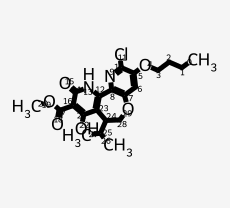 CCCCOc1cc2c(nc1Cl)-c1[nH]c(=O)c(C(=O)OC)c(O)c1C(C(C)C)CO2